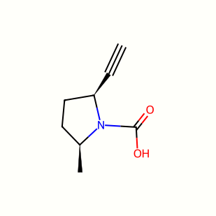 C#C[C@@H]1CC[C@H](C)N1C(=O)O